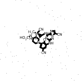 CN(CC#N)[C@H]1CN(c2cc(C#N)cc(Nc3nc(NC4CC4)c4ncc(C#N)n4n3)c2Cl)CC[C@@H]1NC(=O)O